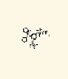 FC(F)(F)C(F)(F)Oc1cccc([PH+](C2CCCC2)C2CCCC2)c1.F[B-](F)(F)F